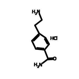 Cl.NCCc1ccc(C(N)=O)cc1